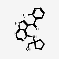 Cc1ccccc1C(=O)c1c[nH]c2ncnc(NC3(CO)CCCC3)c12